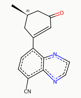 C[C@H]1CC(=O)C=C(c2ccc(C#N)c3nccnc23)C1